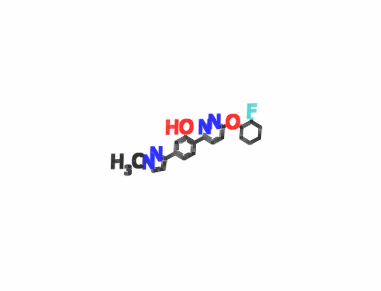 Cn1ccc(-c2ccc(-c3ccc(O[C@@H]4CCCC[C@@H]4F)nn3)c(O)c2)n1